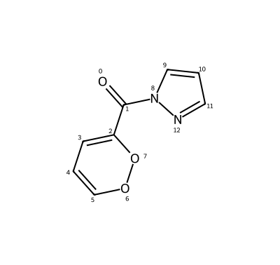 O=C(C1=CC=COO1)n1cccn1